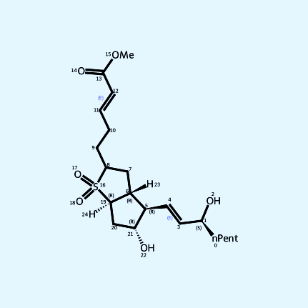 CCCCC[C@H](O)/C=C/[C@@H]1[C@H]2CC(CC/C=C/C(=O)OC)S(=O)(=O)[C@@H]2C[C@H]1O